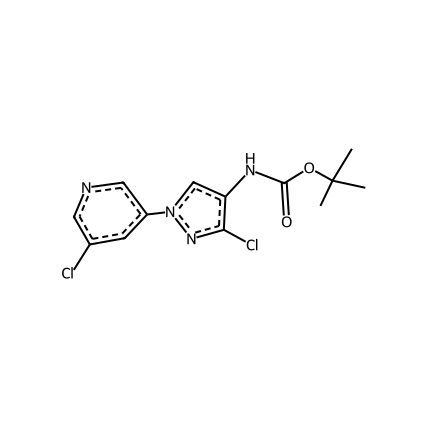 CC(C)(C)OC(=O)Nc1cn(-c2cncc(Cl)c2)nc1Cl